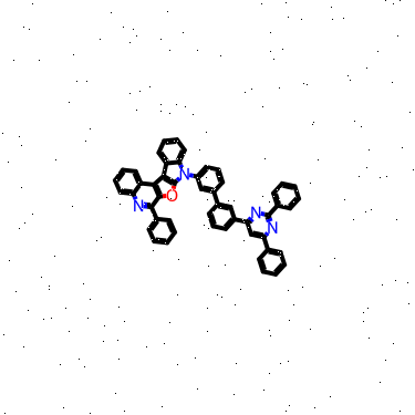 c1ccc(-c2cc(-c3cccc(-c4cccc(-n5c6ccccc6c6c7c(oc65)c(-c5ccccc5)nc5ccccc57)c4)c3)nc(-c3ccccc3)n2)cc1